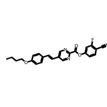 CCCCOc1ccc(C=Cc2cnc(C(=O)Oc3ccc(C#N)c(F)c3)nc2)cc1